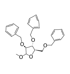 COC1O[C@H](COCc2ccccc2)[C@@H](OCc2ccccc2)[C@@H]1OCc1ccccc1